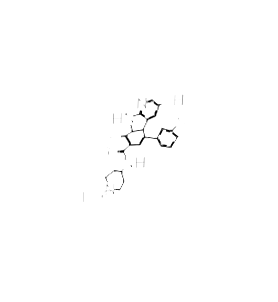 CC1=C(C(=O)NC2CCN(C)CC2)C=C(c2cccc(S)c2)C2c3cc(C)cnc3NC12